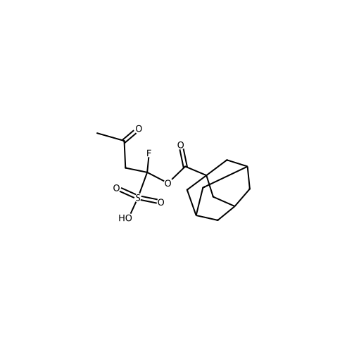 CC(=O)CC(F)(OC(=O)C12CC3CC(CC(C3)C1)C2)S(=O)(=O)O